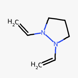 C=CN1CCCN1C=C